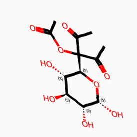 CC(=O)OC(C(C)=O)(C(C)=O)[C@H]1O[C@H](O)[C@H](O)[C@@H](O)[C@@H]1O